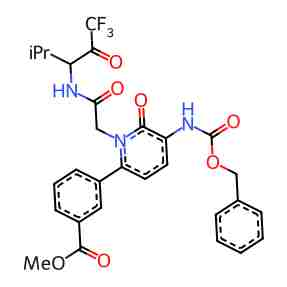 COC(=O)c1cccc(-c2ccc(NC(=O)OCc3ccccc3)c(=O)n2CC(=O)NC(C(=O)C(F)(F)F)C(C)C)c1